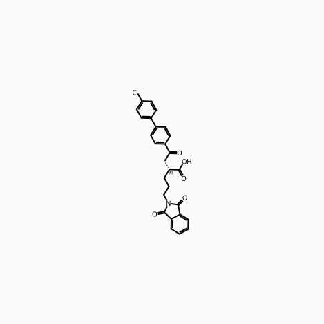 O=C(C[C@@H](CCCN1C(=O)c2ccccc2C1=O)C(=O)O)c1ccc(-c2ccc(Cl)cc2)cc1